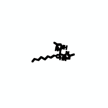 CCCCCCCCOC(c1nc(C)c[nH]1)c1nc(C)c[nH]1